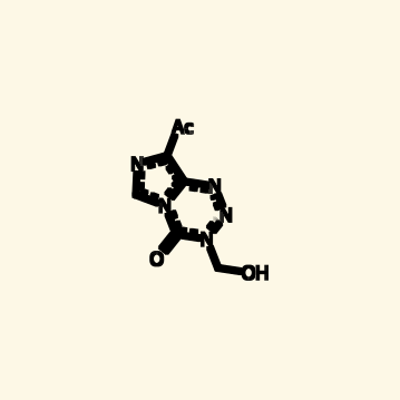 CC(=O)c1ncn2c(=O)n(CO)nnc12